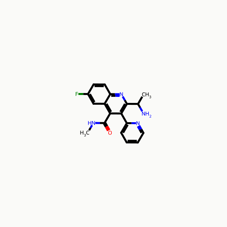 CNC(=O)c1c(-c2ccccn2)c(C(C)N)nc2ccc(F)cc12